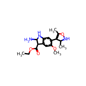 CCOC(=O)C1c2cc(OC)c(C3=C(C)ONC3C)cc2NC1N